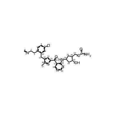 C=NCCc1ccc(Cl)cc1Cc1cc(C(=O)c2cncnc2NC2CC(COS(N)=O)[C@@H](O)C2)sc1C